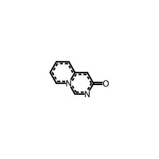 O=c1cc2ccccn2cn1